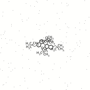 CO[C@H](O)[n+]1ccc2cc(CC(C)(C)C)cc3c2c1-c1c(c(CC(C)(C)C)c2ccc(CC(C)(C)C)cc2c1C(C)(C)C)O3